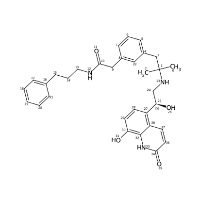 CC(C)(Cc1cccc(CC(=O)NCCCc2ccccc2)c1)NC[C@@H](O)c1ccc(O)c2[nH]c(=O)ccc12